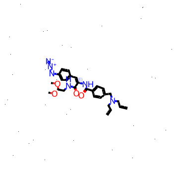 C=CCN(CC=C)Cc1ccc(C(=O)N/C(=C/c2ccc(N=[N+]=[N-])cc2)C(=O)NCC(OC)OC)cc1